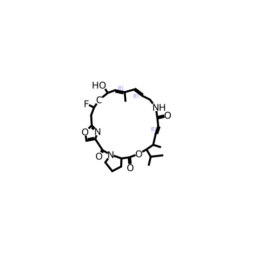 CC1=C\C(O)CC(F)Cc2nc(co2)C(=O)N2CCCC2C(=O)OC(C(C)C)C(C)/C=C/C(=O)NC\C=C\1